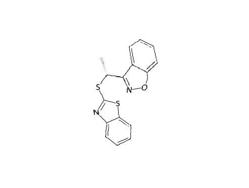 C[C@@H](Sc1nc2ccccc2s1)c1noc2ccccc12